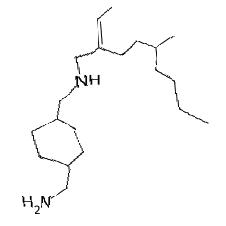 C/C=C(\CCC(C)CCCC)CNCC1CCC(CN)CC1